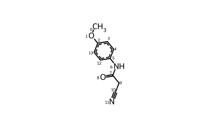 COc1ccc(NC(=O)CC#N)cc1